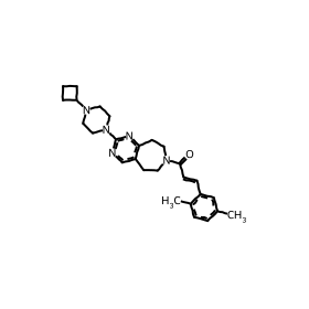 Cc1ccc(C)c(C=CC(=O)N2CCc3cnc(N4CCN(C5CCC5)CC4)nc3CC2)c1